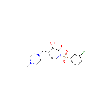 CCN1CCN(Cc2ccn(S(=O)(=O)c3cccc(F)c3)c(=O)c2O)CC1